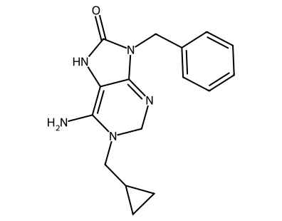 NC1=c2[nH]c(=O)n(Cc3ccccc3)c2=NCN1CC1CC1